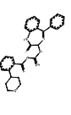 N=C(NC1N=C(c2ccccc2)c2ccccc2NC1=O)OC(=N)c1ccccc1C1CCOCC1